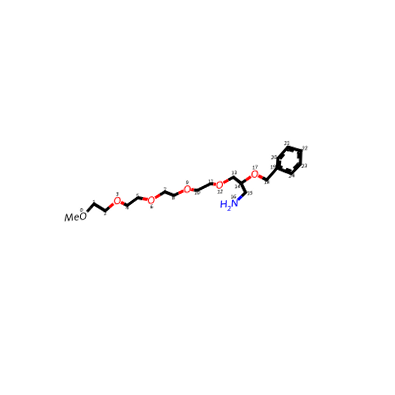 COCCOCCOCCOCCOCC(CN)OCc1ccccc1